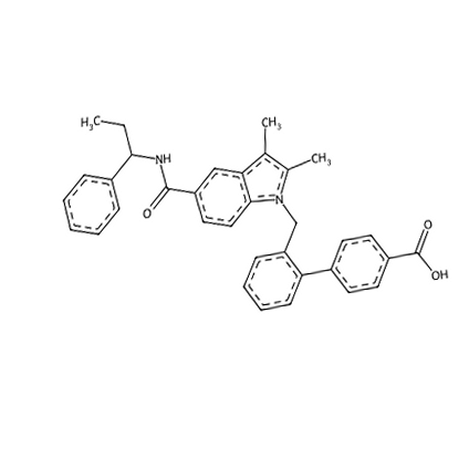 CCC(NC(=O)c1ccc2c(c1)c(C)c(C)n2Cc1ccccc1-c1ccc(C(=O)O)cc1)c1ccccc1